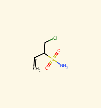 C=CC(CCl)S(N)(=O)=O